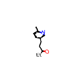 CCC(=O)CCc1ccc(C)nc1